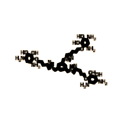 N[C@@H]1C[C@H](N)[C@@H](OCCCc2cn(Cc3cc(Cn4cc(CCCOC5[C@@H](N)C[C@@H](N)[C@H](O)[C@H]5O)nn4)cc(Cn4cc(CCCO[C@H]5[C@H](O)[C@@H](O)[C@H](N)C[C@@H]5N)nn4)c3)nn2)[C@H](O)[C@H]1O